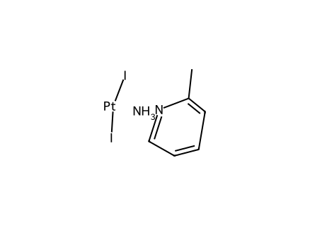 Cc1ccccn1.N.[I][Pt][I]